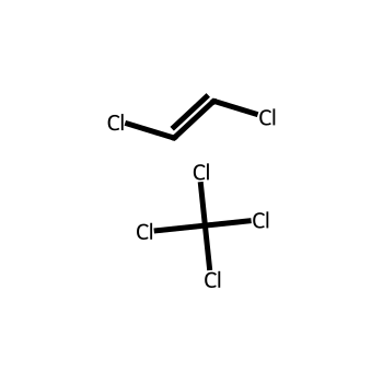 ClC(Cl)(Cl)Cl.ClC=CCl